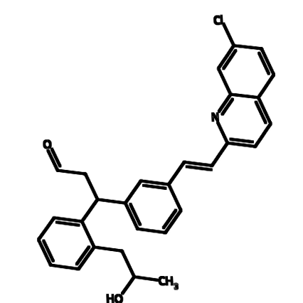 CC(O)Cc1ccccc1C(CC=O)c1cccc(C=Cc2ccc3ccc(Cl)cc3n2)c1